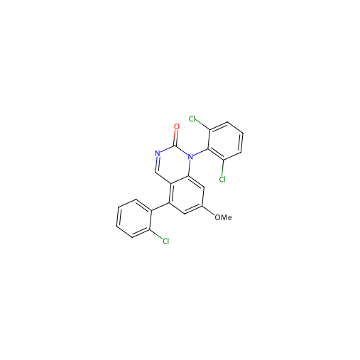 COc1cc(-c2ccccc2Cl)c2cnc(=O)n(-c3c(Cl)cccc3Cl)c2c1